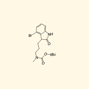 CN(CCCC1C(=O)Nc2cccc(Br)c21)C(=O)OC(C)(C)C